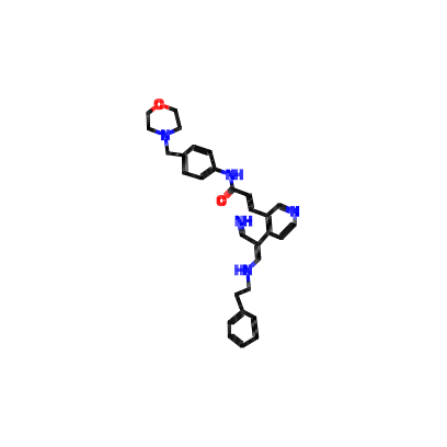 N=C/C(=C\NCCc1ccccc1)c1ccncc1/C=C/C(=O)Nc1ccc(CN2CCOCC2)cc1